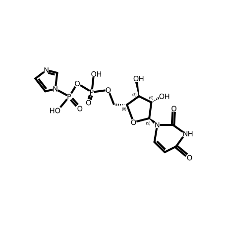 O=c1ccn([C@H]2O[C@H](COP(=O)(O)OP(=O)(O)n3ccnc3)[C@@H](O)[C@@H]2O)c(=O)[nH]1